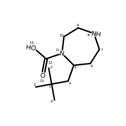 CC(C)(C)CC1CCNCCN1C(=O)O